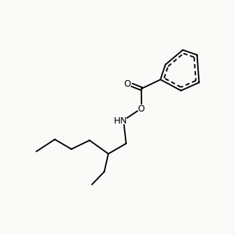 CCCCC(CC)CNOC(=O)c1ccccc1